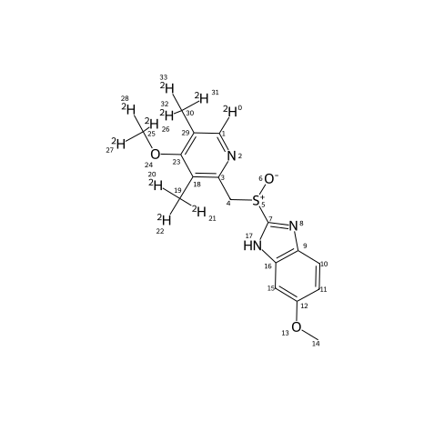 [2H]c1nc(C[S+]([O-])c2nc3ccc(OC)cc3[nH]2)c(C([2H])([2H])[2H])c(OC([2H])([2H])[2H])c1C([2H])([2H])[2H]